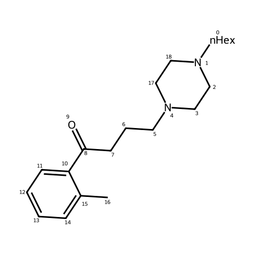 CCCCCCN1CCN(CCCC(=O)c2ccccc2C)CC1